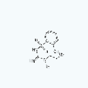 CCN(CCBr)C(=N)NS(=O)(=O)c1ccccc1C